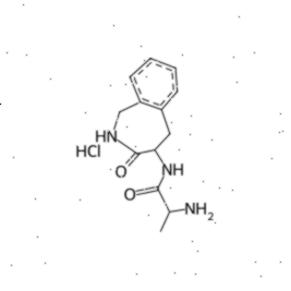 CC(N)C(=O)NC1Cc2ccccc2CNC1=O.Cl